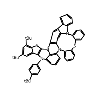 CC(C)(C)c1ccc(N2c3cccc4c3B(c3cc5c6ccccc6n6c5cc3N4c3ccccc3Sc3ccccc3-6)c3sc4c(C(C)(C)C)cc(C(C)(C)C)cc4c32)cc1